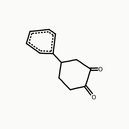 O=C1CCC(c2ccccc2)CC1=O